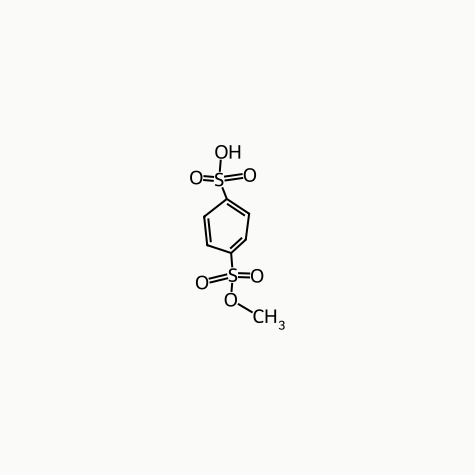 COS(=O)(=O)c1ccc(S(=O)(=O)O)cc1